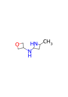 CC1CC(NC2COC2)N1